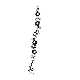 C=CC(=O)OCCCCOC(=O)Oc1ccc(C(=O)Oc2ccc(C(=O)OC3COC4C(OC(=O)c5ccc(OC(=O)c6ccc(OC=O)cc6)cc5)COC34)cc2)cc1